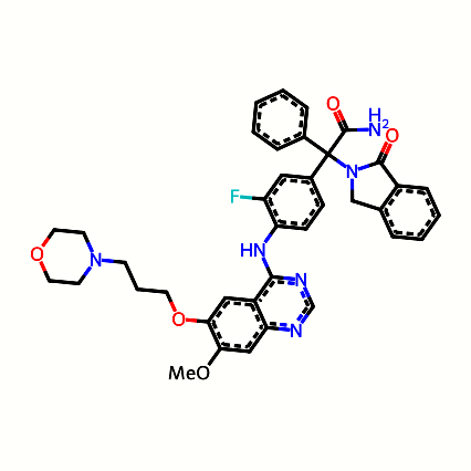 COc1cc2ncnc(Nc3ccc(C(C(N)=O)(c4ccccc4)N4Cc5ccccc5C4=O)cc3F)c2cc1OCCCN1CCOCC1